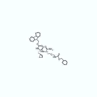 NC(=O)[C@H](CCCCNC(=O)OCc1ccccc1)NC(=O)[C@H](CC12CC(C1)C2)NC(=O)OCC1c2ccccc2-c2ccccc21